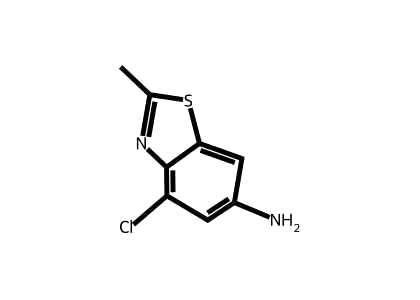 Cc1nc2c(Cl)cc(N)cc2s1